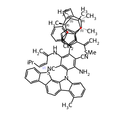 C=CC[C@@H](C)[C@H](C)C(C)Cc1c(C(=C)SC)n(-c2c(C#N)c(N)c(-n3c4cccc(C)c4c4ccc5c6ccccc6sc5c43)c(C#N)c2NC(=C)/C=C\C(C)C)c2cccc(C3=C([C@H](C)[C@H](C)c4ccccc4)C=C3)c12